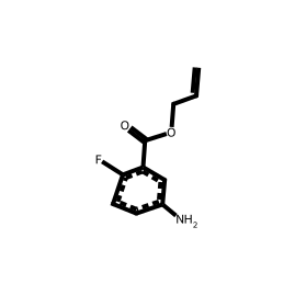 C=CCOC(=O)c1cc(N)ccc1F